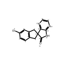 CCc1ccc2c(c1)CC1(C2)C(=O)Nc2nccnc21